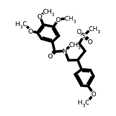 COc1ccc(C(CCS(C)(=O)=O)CN(C)C(=O)c2cc(OC)c(OC)c(OC)c2)cc1